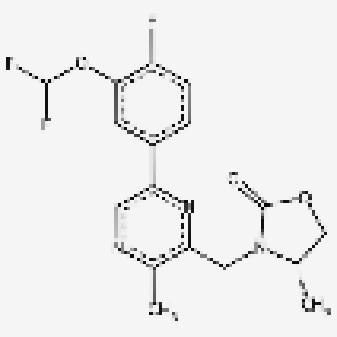 Cc1ncc(-c2ccc(F)c(OC(F)F)c2)nc1CN1C(=O)OC[C@@H]1C